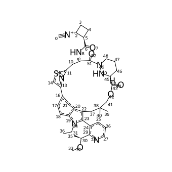 C#[N+][C@@H]1CC[C@H]1C(=O)N[C@H]1Cc2nc(cs2)-c2ccc3c(c2)c(c(-c2cccnc2[C@H](C)OC)n3CC)CC(C)(C)COC(=O)[C@@H]2CCCN(N2)C1=O